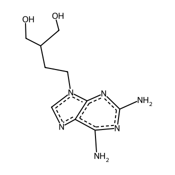 Nc1nc(N)c2ncn(CCC(CO)CO)c2n1